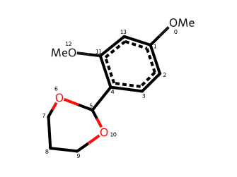 COc1ccc(C2OCCCO2)c(OC)c1